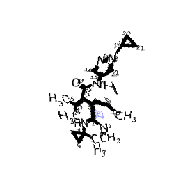 C=N/C(NC1(C)CC1)=C(\CC)C(C(=O)Nc1cnn(C2CC2)c1)=C(C)C